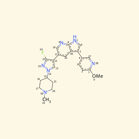 COc1ccc(-c2c[nH]c3ncc(-c4cn(C5CCN(C)CC5)nc4F)cc23)cn1